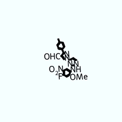 COc1cc(F)c([N+](=O)[O-])cc1Nc1nccc(-n2cc(C=O)c(-c3ccc(C)cc3)n2)n1